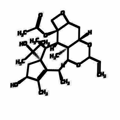 C=CC1O[C@H]2CC3OC[C@@]3(OC(C)=O)[C@H]3[C@H](C)[C@]4(C(C)(C)O)C[C@H](O)C(C)=C4[C@H](C)[C@H](O1)[C@]23C